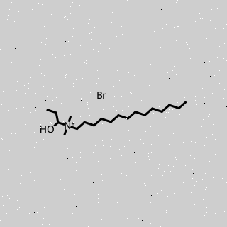 CCCCCCCCCCCCCC[N+](C)(C)C(O)CC.[Br-]